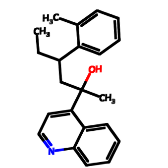 CCC(CC(C)(O)c1ccnc2ccccc12)c1ccccc1C